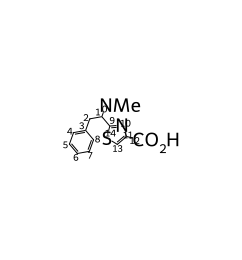 CNC(Cc1ccccc1)c1nc(C(=O)O)cs1